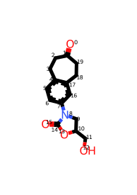 O=C1CCc2ccc(N3CC(CO)OC3=O)cc2CC1